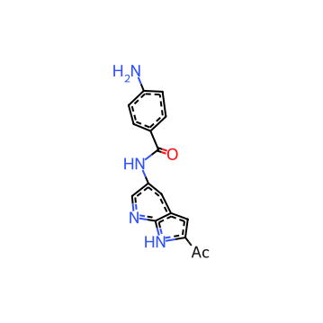 CC(=O)c1cc2cc(NC(=O)c3ccc(N)cc3)cnc2[nH]1